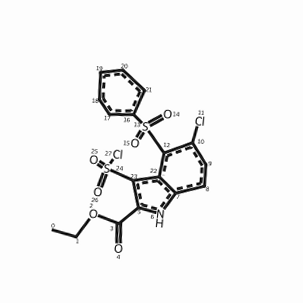 CCOC(=O)c1[nH]c2ccc(Cl)c(S(=O)(=O)c3ccccc3)c2c1S(=O)(=O)Cl